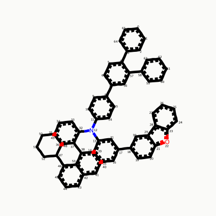 c1ccc(-c2ccc(-c3ccc(N(c4cccc(-c5ccc6oc7ccccc7c6c5)c4)c4ccccc4-c4cccc5cccc(C6CCCCC6)c45)cc3)cc2-c2ccccc2)cc1